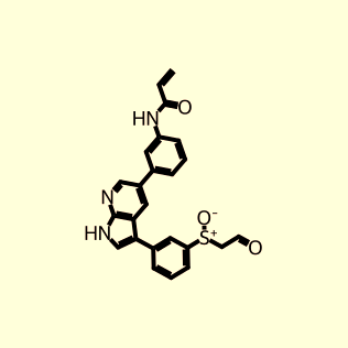 C=CC(=O)Nc1cccc(-c2cnc3[nH]cc(-c4cccc([S+]([O-])CC=O)c4)c3c2)c1